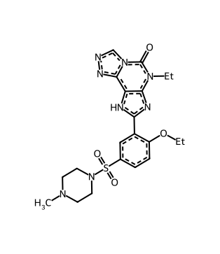 CCOc1ccc(S(=O)(=O)N2CCN(C)CC2)cc1-c1nc2c([nH]1)c1nncn1c(=O)n2CC